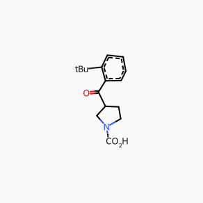 CC(C)(C)c1ccccc1C(=O)C1CCN(C(=O)O)C1